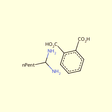 CCCCCC(N)N.O=C(O)c1ccccc1C(=O)O